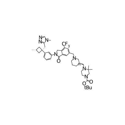 Cn1cnnc1C[C@]1(c2cccc(N3Cc4c(cc(CN5CCC[C@H](CN6CCN(C(=O)OC(C)(C)C)CC6(C)C)C5)cc4C(F)(F)F)C3=O)c2)C[C@H](C)C1